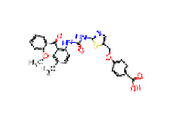 COc1ccccc1C(=O)c1cc(C)ccc1NC(=O)Nc1ncc(COc2ccc(C(=O)O)cc2)s1